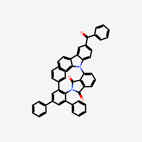 O=C(c1ccccc1)c1ccc2c(c1)c1ccccc1n2-c1cccc2c1C(=O)N(c1c(-c3ccccc3)cc(-c3ccccc3)cc1-c1ccccc1)C2=O